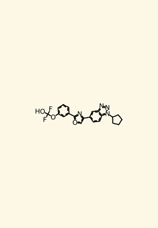 OC(F)(F)Oc1cccc(-c2nc(-c3ccc4c(c3)nnn4C3CCCC3)co2)c1